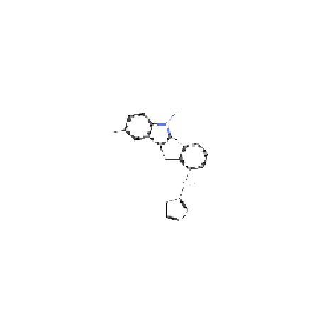 Cc1ccc2c(c1)c1c(n2C)-c2ccc[c]([Zr+2][C]3=CC=CC3)c2C1.[Cl-].[Cl-]